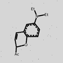 CCN(CC)c1ccc2c(c1)C=CC(C(C)=O)O2